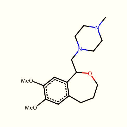 COc1cc2c(cc1OC)C(CN1CCN(C)CC1)OCCC2